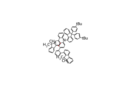 CC(C)(C)c1ccc(C2(c3ccc(C(C)(C)C)cc3)c3ccccc3-c3c(N(c4ccc(-c5ccccc5-c5cccc6c5C(C)(C)c5ccccc5-6)cc4)c4ccccc4-c4ccc5c(c4)C(C)(C)c4ccccc4-5)cccc32)cc1